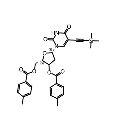 Cc1ccc(C(=O)OC[C@@H]2O[C@H](n3cc(C#C[Si](C)(C)C)c(=O)[nH]c3=O)CC2OC(=O)c2ccc(C)cc2)cc1